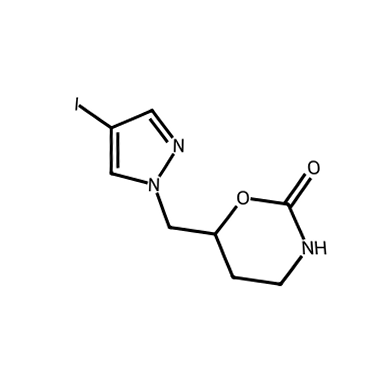 O=C1NCCC(Cn2cc(I)cn2)O1